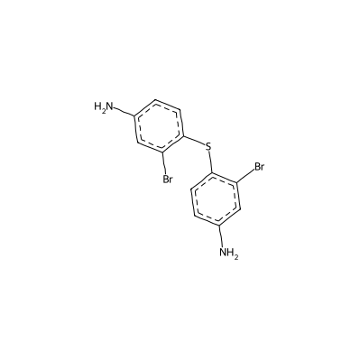 Nc1ccc(Sc2ccc(N)cc2Br)c(Br)c1